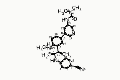 C=C(Nc1ccc(C#N)nc1)C(=C)c1cc(-c2cncc(NC(=O)N(C)C)c2)ccc1NC